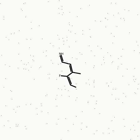 C/C=C(F)\C(C)=C/C=N